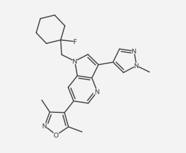 Cc1noc(C)c1-c1cnc2c(-c3cnn(C)c3)cn(CC3(F)CCCCC3)c2c1